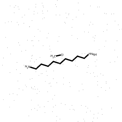 CCCCCCCCCCCCCCCCN.CCl